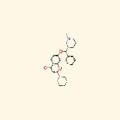 CN1CCCC(C(Oc2ccc3c(=O)cc(C4CCCCC4)oc3c2)c2ccccc2)C1